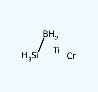 B[SiH3].[Cr].[Ti]